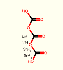 O=C(O)OC(=O)OC(=O)O.[LiH].[LiH].[SrH2].[SrH2]